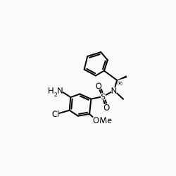 COc1cc(Cl)c(N)cc1S(=O)(=O)N(C)[C@H](C)c1ccccc1